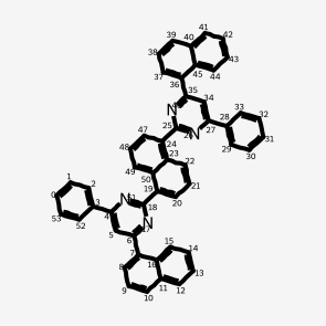 c1ccc(-c2cc(-c3cccc4ccccc34)nc(-c3cccc4c(-c5nc(-c6ccccc6)cc(-c6cccc7ccccc67)n5)cccc34)n2)cc1